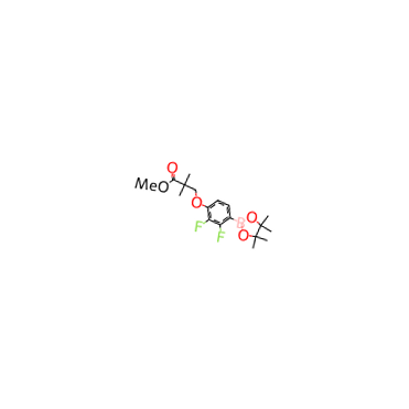 COC(=O)C(C)(C)COc1ccc(B2OC(C)(C)C(C)(C)O2)c(F)c1F